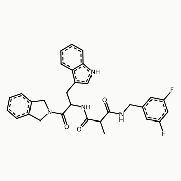 CC(C(=O)NCc1cc(F)cc(F)c1)C(=O)NC(Cc1c[nH]c2ccccc12)C(=O)N1Cc2ccccc2C1